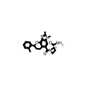 Cc1ccccc1C1CCc2c(C(=O)N3CC[C@H]3C(N)=O)cc3c(nc(C)n3C)c2O1